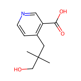 CC(C)(CO)Cc1ccncc1C(=O)O